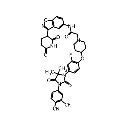 CC1(C)C(=O)N(c2ccc(C#N)c(C(F)(F)F)c2)C(=S)N1c1ccc(OC2CCN(CC(=O)Nc3ccc4onc(C5CCC(=O)NC5=O)c4c3)CC2)c(F)c1